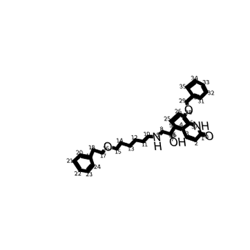 O=c1ccc2c([C@@H](O)CNCCCCCCOCCc3ccccc3)ccc(OCc3ccccc3)c2[nH]1